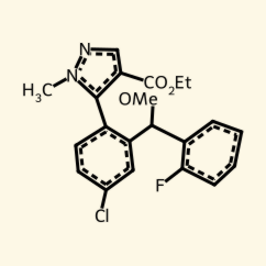 CCOC(=O)c1cnn(C)c1-c1ccc(Cl)cc1C(OC)c1ccccc1F